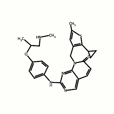 CNCC(C)Oc1ccc(Nc2ncc3ccc(=O)n(Cc4cc(C)sc4C4CC4)c3n2)cc1